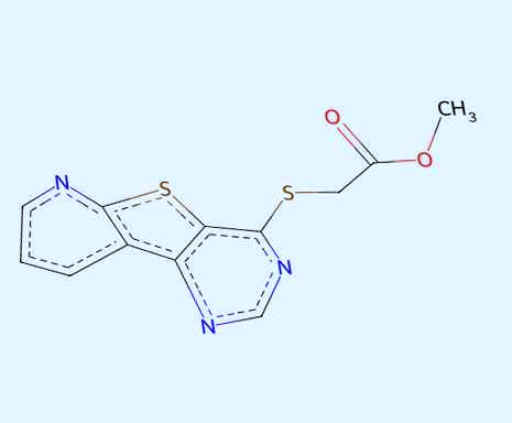 COC(=O)CSc1ncnc2c1sc1ncccc12